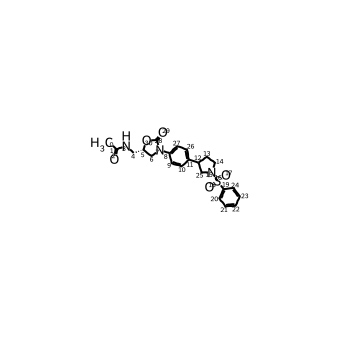 CC(=O)NC[C@H]1CN(c2ccc(C3CCN(S(=O)(=O)c4ccccc4)C3)cc2)C(=O)O1